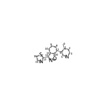 Cc1ccncc1-c1cccc2c(-c3nccs3)noc12